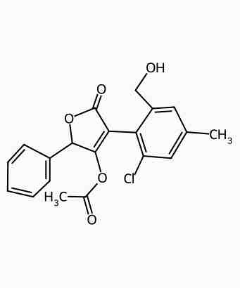 CC(=O)OC1=C(c2c(Cl)cc(C)cc2CO)C(=O)OC1c1ccccc1